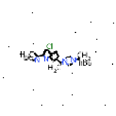 C=C(CCCC)N1CCN(C(=C)c2ccc3c(Cl)cc(C(=C/C)/N=C\CC)nc3c2)CC1